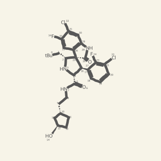 CC(C)(C)C[C@H]1N[C@@H](C(=O)NCC[C@@H]2CC[C@@H](O)C2)[C@H](c2cccc(Cl)c2F)[C@@]12C(=O)Nc1cc(Cl)c(F)cc12